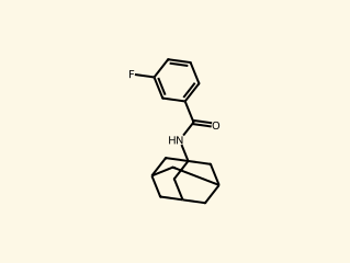 O=C(NC12CC3CC(CC(C3)C1)C2)c1cccc(F)c1